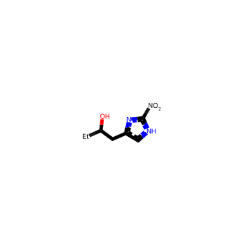 CCC(O)Cc1c[nH]c([N+](=O)[O-])n1